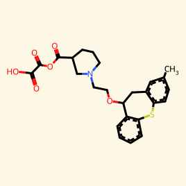 Cc1ccc2c(c1)CC(OCCN1CCCC(C(=O)OC(=O)C(=O)O)C1)c1ccccc1S2